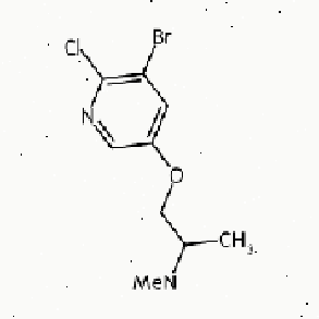 CNC(C)COc1cnc(Cl)c(Br)c1